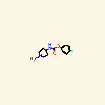 CN1CCC(NC(=O)Oc2ccc(F)cc2)CC1